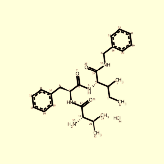 CCC(C)[C@H](NC(=O)[C@H](Cc1ccccc1)NC(=O)[C@@H](N)C(C)C)C(=O)NCc1ccccc1.Cl